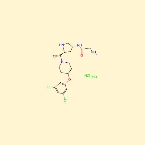 Cl.Cl.NCC(=O)N[C@H]1CN[C@H](C(=O)N2CCC(Oc3cc(Cl)cc(Cl)c3)CC2)C1